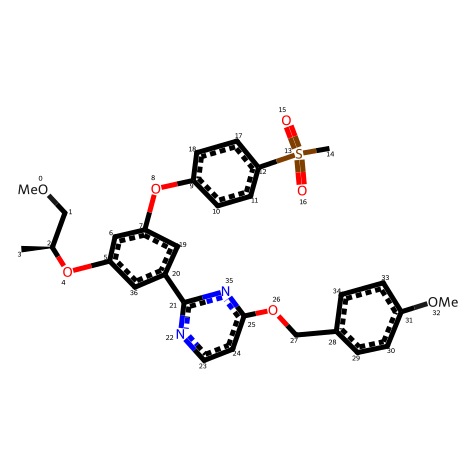 COC[C@H](C)Oc1cc(Oc2ccc(S(C)(=O)=O)cc2)cc(-c2nccc(OCc3ccc(OC)cc3)n2)c1